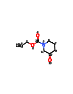 CC(C)(C)COC(=O)N1CCCC(=O)C1